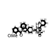 COc1ccccc1C(=O)NCC1(c2ccccc2)CCN(/C(=N/S(C)(=O)=O)NCc2ccccn2)CC1